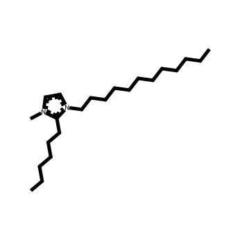 CCCCCCCCCCCCn1cc[n+](C)c1CCCCCC